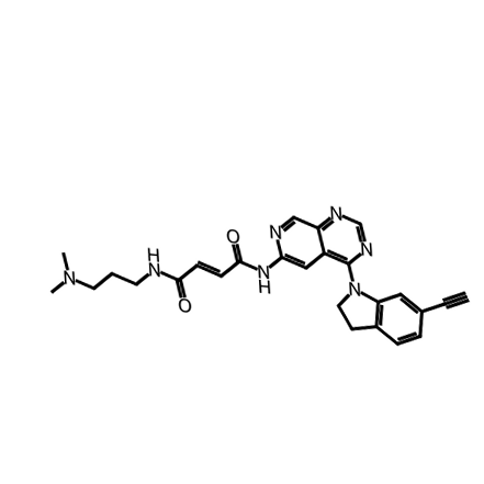 C#Cc1ccc2c(c1)N(c1ncnc3cnc(NC(=O)C=CC(=O)NCCCN(C)C)cc13)CC2